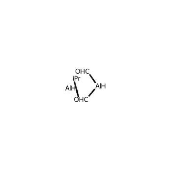 O=[CH][AlH][CH]=O.[AlH3].[CH2]C(C)C